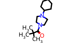 CC(C)(C)C(=O)N1CCN(C2CCCCC2)CC1